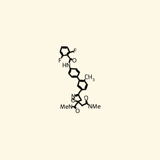 CNC(=O)CC1(C(=O)NC)CC(c2ccc(C)c(-c3ccc(NC(=O)c4c(F)cccc4F)cc3)c2)=NO1